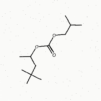 CC(C)COC(=O)OC(C)CC(C)(C)C